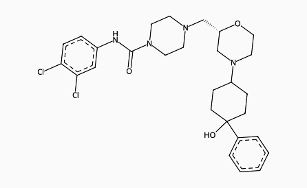 O=C(Nc1ccc(Cl)c(Cl)c1)N1CCN(C[C@H]2CN(C3CCC(O)(c4ccccc4)CC3)CCO2)CC1